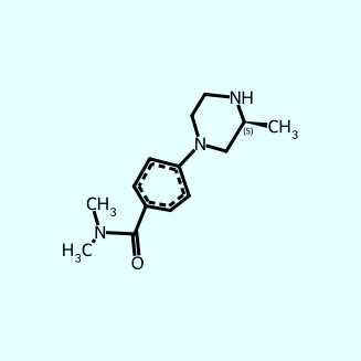 C[C@H]1CN(c2ccc(C(=O)N(C)C)cc2)CCN1